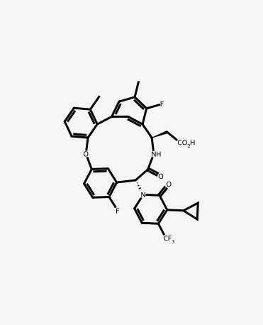 Cc1cc2cc(c1F)[C@@H](CC(=O)O)NC(=O)[C@H](n1ccc(C(F)(F)F)c(C3CC3)c1=O)c1cc(ccc1F)Oc1cccc(C)c1-2